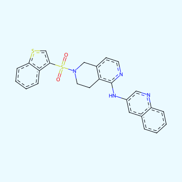 O=S(=O)(c1csc2ccccc12)N1CCc2c(ccnc2Nc2cnc3ccccc3c2)C1